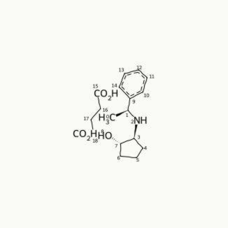 C[C@H](N[C@H]1CCC[C@@H]1O)c1ccccc1.O=C(O)CCC(=O)O